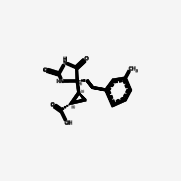 Cc1cccc(CC[C@]2([C@H]3C[C@@H]3C(=O)O)NC(=O)NC2=O)c1